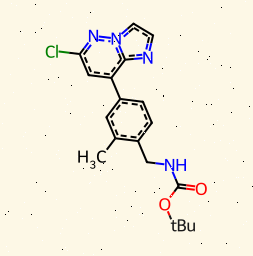 Cc1cc(-c2cc(Cl)nn3ccnc23)ccc1CNC(=O)OC(C)(C)C